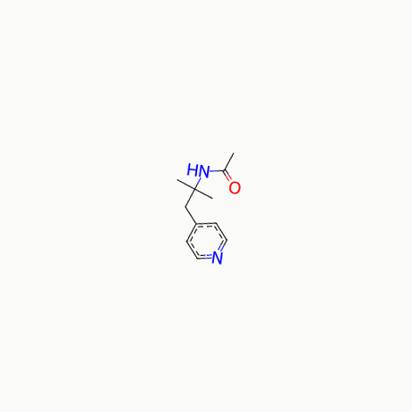 CC(=O)NC(C)(C)Cc1ccncc1